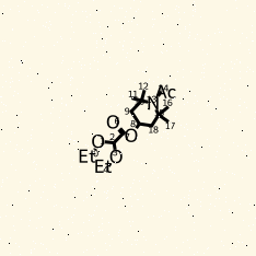 CCOC(OCC)C(=O)OC1CC(C)(C)N(C(C)=O)C(C)(C)C1